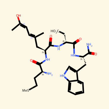 CSCC[C@H](N)C(=O)N[C@@H](C/C(C)=C/C=C(\C)O)C(=O)N[C@H](CC(=O)O)C(=O)N[C@@H](Cc1c[nH]c2ccccc12)C(N)=O